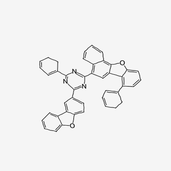 C1=CCCC(c2nc(-c3ccc4oc5ccccc5c4c3)nc(-c3cc4c(oc5cccc(C6=CC=CCC6)c54)c4ccccc34)n2)=C1